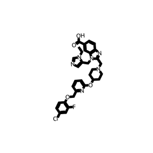 CCn1cncc1Cn1c(CN2CCC(Oc3cccc(COc4ccc(Cl)cc4F)n3)CC2)nc2ccc(C(=O)O)cc21